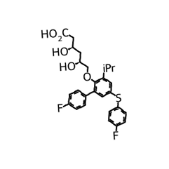 CC(C)c1cc(Sc2ccc(F)cc2)cc(-c2ccc(F)cc2)c1OC[C@@H](O)C[C@@H](O)CC(=O)O